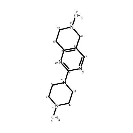 CN1CCN(c2ncc3c(n2)CCN(C)C3)CC1